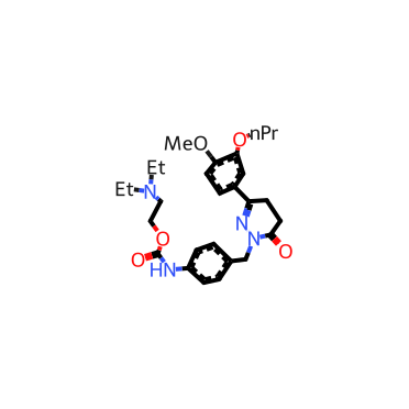 CCCOc1cc(C2=NN(Cc3ccc(NC(=O)OCCN(CC)CC)cc3)C(=O)CC2)ccc1OC